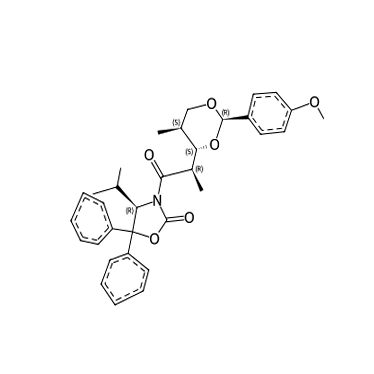 COc1ccc([C@@H]2OC[C@H](C)[C@@H]([C@@H](C)C(=O)N3C(=O)OC(c4ccccc4)(c4ccccc4)[C@H]3C(C)C)O2)cc1